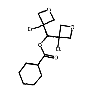 CCC1(C(OC(=O)C2CCCCC2)C2(CC)COC2)COC1